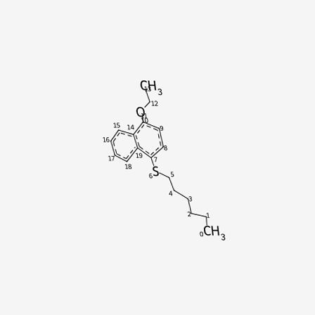 CCCCCCSc1ccc(OCC)c2ccccc12